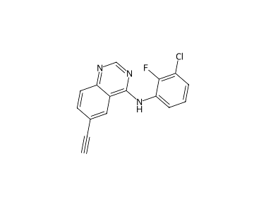 C#Cc1ccc2ncnc(Nc3cccc(Cl)c3F)c2c1